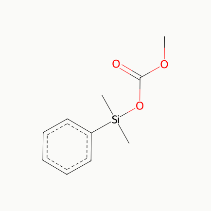 COC(=O)O[Si](C)(C)c1ccccc1